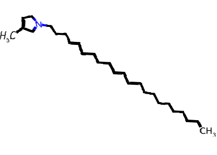 CCCCCCCCCCCCCCCCCCCCCCN1CC=C(C)C1